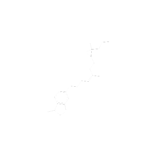 CCCC1(C)OC1CCC(C)=CCCOc1ccc2c(c1)OCC2C